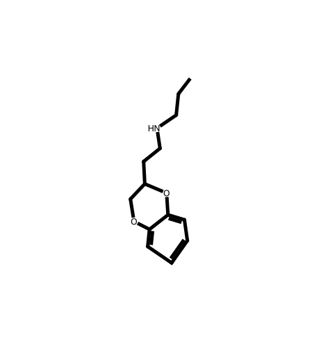 CCCNCCC1COc2ccccc2O1